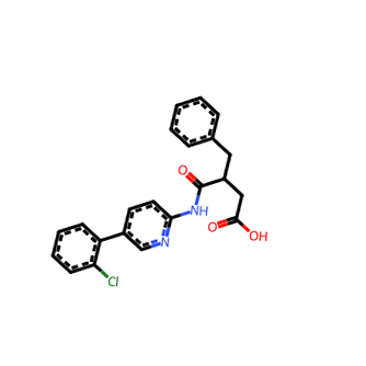 O=C(O)CC(Cc1ccccc1)C(=O)Nc1ccc(-c2ccccc2Cl)cn1